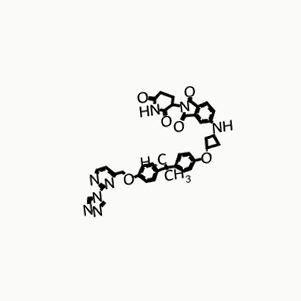 CC(C)(c1ccc(OCc2ccnc(-n3cnnc3)n2)cc1)c1ccc(O[C@H]2C[C@@H](Nc3ccc4c(c3)C(=O)N(C3CCC(=O)NC3=O)C4=O)C2)cc1